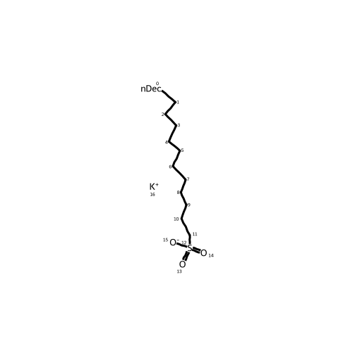 CCCCCCCCCCCCCCCCCCCCCS(=O)(=O)[O-].[K+]